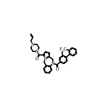 C=CCN1CCN(C(=O)c2ccc3n2Cc2ccccc2N(C(=O)c2ccc(-c4ccccc4C(F)(F)F)c(C)c2)C3)CC1